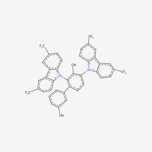 N#Cc1cccc(-c2ccc(-n3c4ccc(C(F)(F)F)cc4c4cc(C(F)(F)F)ccc43)c(C#N)c2-n2c3ccc(C(F)(F)F)cc3c3cc(C(F)(F)F)ccc32)c1